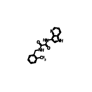 O=C(NCc1ccccc1C(F)(F)F)C(=O)Nc1c[nH]c2cccnc12